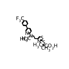 CN(CCc1csc(SC(C)(C)C(=O)O)n1)c1ccc(-c2ccc(C(F)(F)F)cc2)cn1.Cl